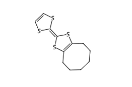 C1=CSC(=C2SC3=C(CCCCCC3)S2)S1